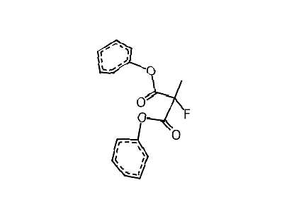 CC(F)(C(=O)Oc1ccccc1)C(=O)Oc1ccccc1